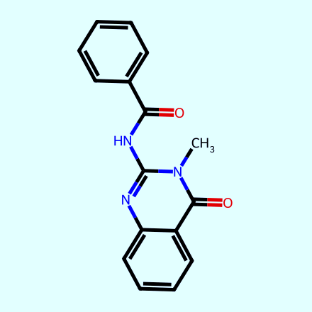 Cn1c(NC(=O)c2ccccc2)nc2ccccc2c1=O